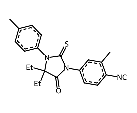 [C-]#[N+]c1ccc(N2C(=O)C(CC)(CC)N(c3ccc(C)cc3)C2=S)cc1C